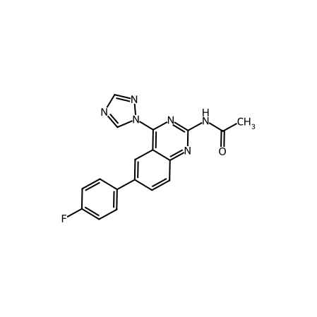 CC(=O)Nc1nc(-n2cncn2)c2cc(-c3ccc(F)cc3)ccc2n1